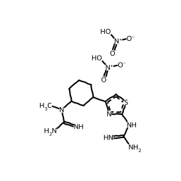 CN(C(=N)N)C1CCCC(c2csc(NC(=N)N)n2)C1.O=[N+]([O-])O.O=[N+]([O-])O